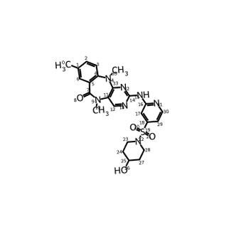 Cc1ccc2c(c1)C(=O)N(C)c1cnc(Nc3cc(S(=O)(=O)N4CCC(O)CC4)ccn3)nc1N2C